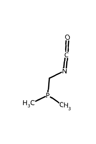 CP(C)CN=C=O